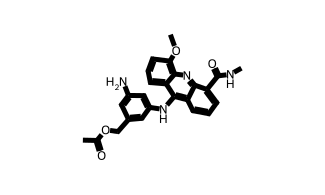 CNC(=O)c1cccc2c(Nc3cc(N)cc(COC(C)=O)c3)c3cccc(OC)c3nc12